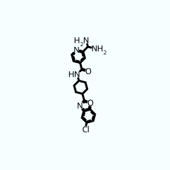 NC(N)c1cc(C(=O)NC2CCC(c3nc4cc(Cl)ccc4o3)CC2)ccn1